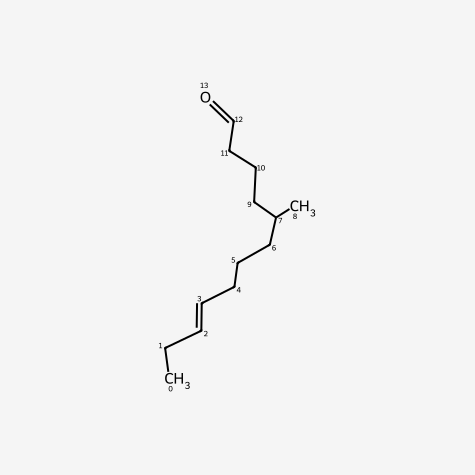 CCC=CCCCC(C)CCCC=O